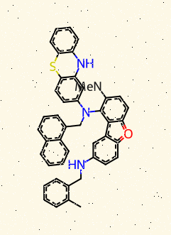 CNc1ccc2oc3ccc(NCc4ccccc4C)cc3c2c1N(Cc1cccc2ccccc12)c1ccc2c(c1)Nc1ccccc1S2